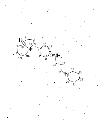 c1cc([C@H]2CC[C@H]3CCCCN32)ccc1NCCCN1CCCCC1